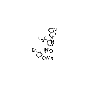 COc1ccc(Br)cc1CNC(=O)c1cnc(N2CCc3ncccc3C2)c(C)c1